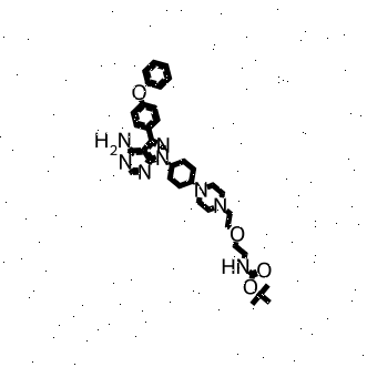 CC(C)(C)OC(=O)NCCOCCN1CCN([C@H]2CC[C@H](n3nc(-c4ccc(Oc5ccccc5)cc4)c4c(N)ncnc43)CC2)CC1